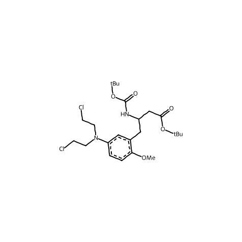 COc1ccc(N(CCCl)CCCl)cc1CC(CC(=O)OC(C)(C)C)NC(=O)OC(C)(C)C